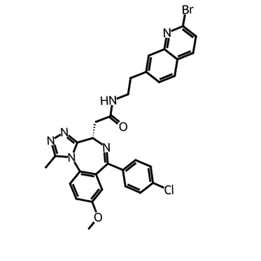 COc1ccc2c(c1)C(c1ccc(Cl)cc1)=N[C@@H](CC(=O)NCCc1ccc3ccc(Br)nc3c1)c1nnc(C)n1-2